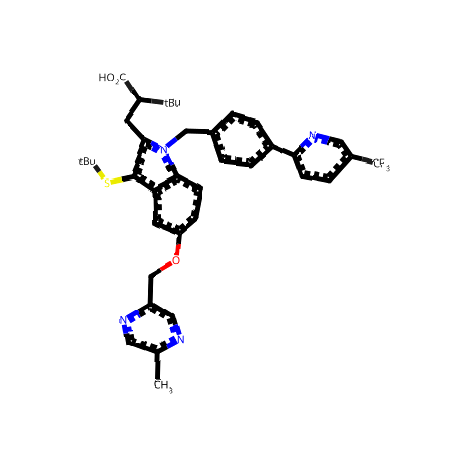 Cc1cnc(COc2ccc3c(c2)c(SC(C)(C)C)c(CC(C(=O)O)C(C)(C)C)n3Cc2ccc(-c3ccc(C(F)(F)F)cn3)cc2)cn1